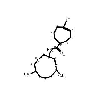 CC1CCCC(C)CCC(NC(=O)C2CC/C=C(/I)CCC2)CCC1